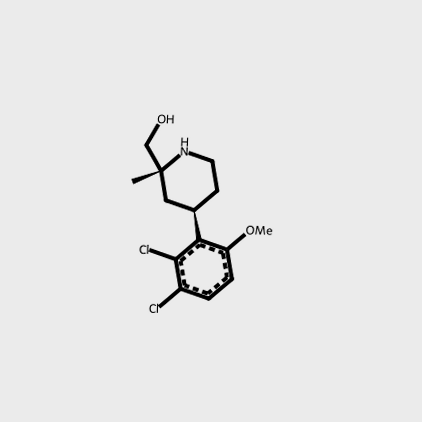 COc1ccc(Cl)c(Cl)c1[C@@H]1CCN[C@@](C)(CO)C1